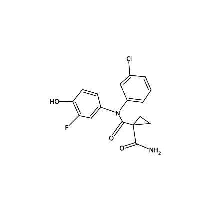 NC(=O)C1(C(=O)N(c2cccc(Cl)c2)c2ccc(O)c(F)c2)CC1